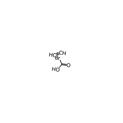 C#C.O=C(O)Br